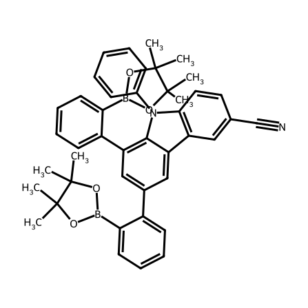 CC1(C)OB(c2ccccc2-c2cc(-c3ccccc3B3OC(C)(C)C(C)(C)O3)c3c(c2)c2cc(C#N)ccc2n3-c2ccccc2)OC1(C)C